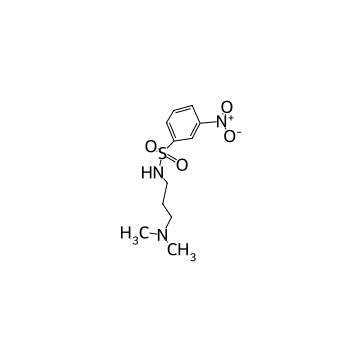 CN(C)CCCNS(=O)(=O)c1cccc([N+](=O)[O-])c1